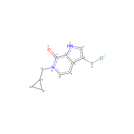 O=c1c2[nH]cc(SCl)c2ccn1CC1CC1